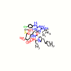 CC(C)NC(=N)NC(=N)Nc1ccc(Cl)cc1.CCC[C@@H]1C[C@@H](C(=O)N[C@@H]([C@H]2O[C@H](SC)[C@H](O)[C@@H](O)[C@H]2O)[C@@H](C)O)N(C)C1